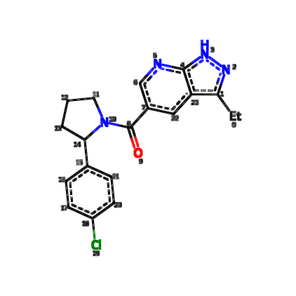 CCc1n[nH]c2ncc(C(=O)N3CCCC3c3ccc(Cl)cc3)cc12